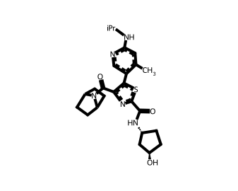 Cc1cc(NC(C)C)ncc1-c1sc(C(=O)N[C@@H]2CC[C@@H](O)C2)nc1C(=O)N1C2CCC1CC2